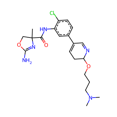 CN(C)CCCOC1CC=C(c2ccc(Cl)c(NC(=O)C3(C)COC(N)=N3)c2)C=N1